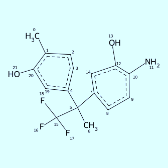 Cc1ccc(C(C)(c2ccc(N)c(O)c2)C(F)(F)F)cc1O